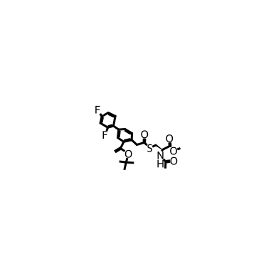 C=C(OC(C)(C)C)c1cc(-c2ccc(F)cc2F)ccc1CC(=O)SC[C@H](NC(C)=O)C(=O)OC